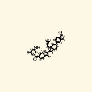 Cc1c(-c2cc3ccc(-c4ccc5c(c4)C=NC5=O)cc3n2CC2CC2)nn2cc(C(=O)N3C[C@H](N)C[C@@H](F)C3)ccc12